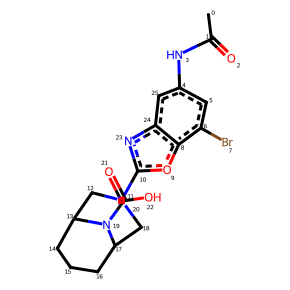 CC(=O)Nc1cc(Br)c2oc(N3CC4CCCC(C3)N4C(=O)O)nc2c1